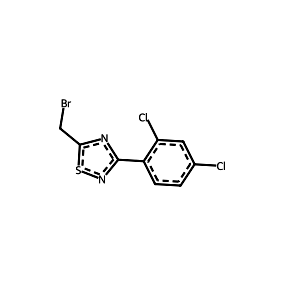 Clc1ccc(-c2nsc(CBr)n2)c(Cl)c1